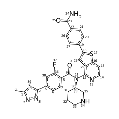 Cc1nnc(-c2ccc(C(=O)N(c3nccc4sc(-c5ccc(C(N)=O)cc5)cc34)[C@@H]3CCCNC3)c(F)c2)s1